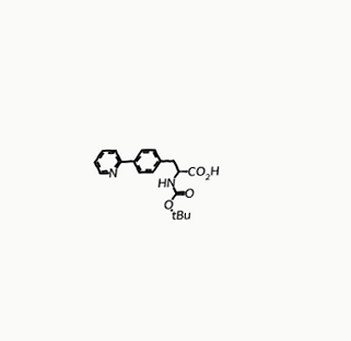 CC(C)(C)OC(=O)N[C@@H](Cc1ccc(-c2ccccn2)cc1)C(=O)O